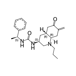 C=C1C[C@@H]2[C@@H](CC1=O)C[C@H](NC(=O)N[C@@H](C)c1ccccc1)CN2CCC